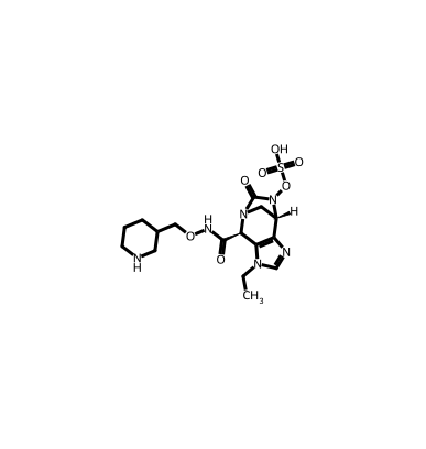 CCn1cnc2c1[C@@H](C(=O)NOCC1CCCNC1)N1C[C@@H]2N(OS(=O)(=O)O)C1=O